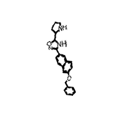 c1ccc(COc2ccc3cc(C4=NOC(C5CCCN5)N4)ccc3c2)cc1